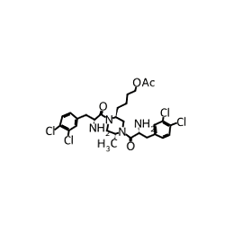 CC(=O)OCCCC[C@H]1CN(C(=O)[C@H](N)Cc2ccc(Cl)c(Cl)c2)[C@H](C)CN1C(=O)[C@H](N)Cc1ccc(Cl)c(Cl)c1